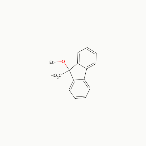 CCOC1(C(=O)O)c2ccccc2-c2ccccc21